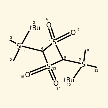 CC(C)(C)[Si](C)(C)C1S(=O)(=O)C([Si](C)(C)C(C)(C)C)S1(=O)=O